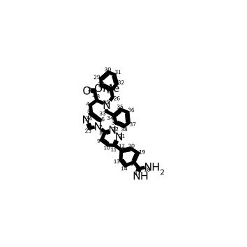 COC(=O)C(Cc1cn(-c2ccc(-c3ccc(C(=N)N)cc3)nn2)cn1)N(Cc1ccccc1)Cc1ccccc1